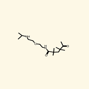 CC(=O)C(C)(C)CC(C)(C)C(=O)NCCOCCNC(C)C